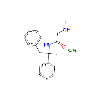 CNCC(=O)NC(C)(Cc1ccccc1)c1ccccc1.Cl